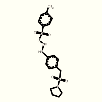 Cc1ccc(S(=O)(=O)ONNc2ccc(CS(=O)(=O)N3CCCC3)cc2)cc1